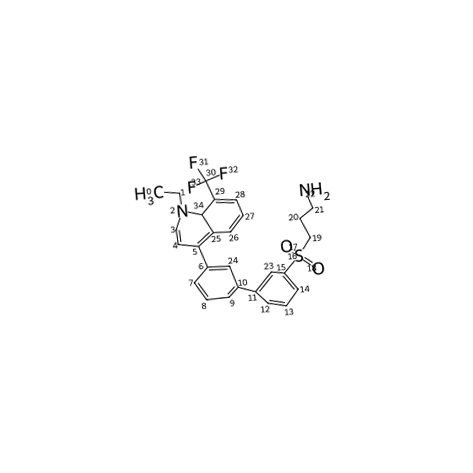 CCN1C=CC(c2cccc(-c3cccc(S(=O)(=O)CCCN)c3)c2)=C2C=CC=C(C(F)(F)F)C21